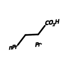 CCCCCC(=O)O.[Pr]